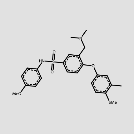 COc1ccc(NS(=O)(=O)c2ccc(Oc3ccc(SC)c(C)c3)c(CN(C)C)c2)cc1